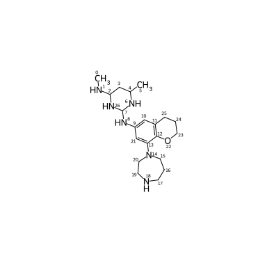 CNC1CC(C)NC(Nc2cc3c(c(N4CCCNCC4)c2)OCCC3)N1